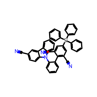 N#Cc1ccc2c(c1)c1ccccc1n2-c1ccccc1-c1c(C#N)cc([Si](c2ccccc2)(c2ccccc2)c2ccccc2)cc1C#N